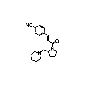 N#Cc1ccc(/C=C/C(=O)N2CCC[C@H]2CN2CCCCC2)cc1